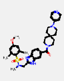 COc1cc(C)c(S(=O)(=O)N(C)Cc2nc3ccc(C(=O)N4CCC5(CC4)CCN(c4ccncc4)CC5)cc3[nH]2)c(C)c1